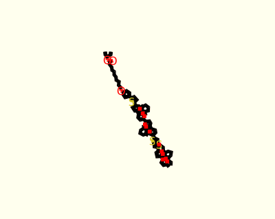 C=CC(C=C)OC(=O)CCCCCCCCCCOc1ccc(-c2ccc(-c3ccc4c(c3)C3(c5cc(-c6ccc7c(c6)C6(c8cc(-c9cc%10sc(-c%11ccc%12c(c%11)C%11(c%13cc(C)ccc%13-%12)C%12(CCC)CCCC%11(CCC)CCC%12)cc%10s9)ccc8-7)C7(C)CCCC6(C)CCC7)ccc5-4)C4(C)CCCC3(C)CCC4)s2)cc1